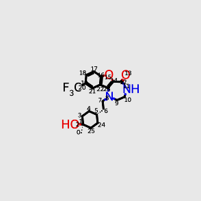 C[C@]1(O)CC[C@H](CCN2CCNC(=O)c3oc4ccc(C(F)(F)F)cc4c32)CC1